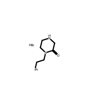 Br.CC(C)CCN1CCNCC1=O